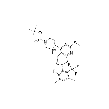 CSc1nc2c(c(N3CCN(C(=O)OC(C)(C)C)C[C@@H]3C)n1)COC(c1c(F)c(C)cc(C)c1C(F)(F)F)C2